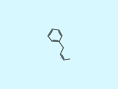 C/C=C\Cc1ccccc1